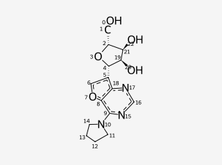 OC[C@H]1O[C@@H](c2coc3c(N4CCCC4)ncnc23)[C@H](O)[C@@H]1O